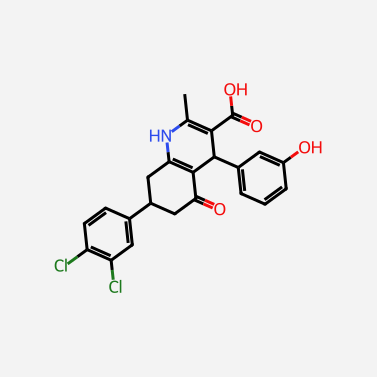 CC1=C(C(=O)O)C(c2cccc(O)c2)C2=C(CC(c3ccc(Cl)c(Cl)c3)CC2=O)N1